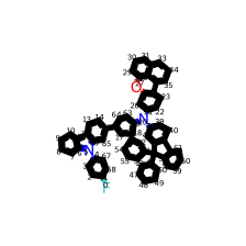 Fc1ccc(-n2c3ccccc3c3ccc(-c4ccc(N(c5ccc6c(c5)Oc5cccc7cccc-6c57)c5ccc6c(c5)C(c5ccccc5)(c5ccccc5)c5ccccc5-6)cc4)cc32)cc1